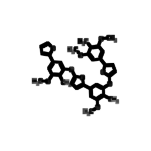 COc1cc(-c2ccc(Oc3cc(-c4ccc(Oc5cc(-c6ccco6)cc(OC)c5C)o4)cc(OC)c3C)o2)cc(OC)c1C